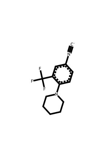 [C-]#[N+]c1ccc(N2CCCCC2)c(C(F)(F)F)c1